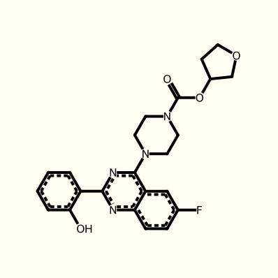 O=C(OC1CCOC1)N1CCN(c2nc(-c3ccccc3O)nc3ccc(F)cc23)CC1